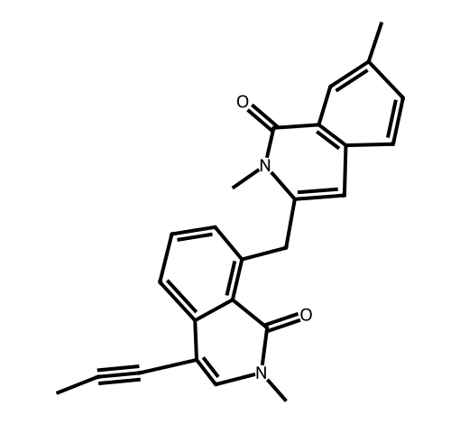 CC#Cc1cn(C)c(=O)c2c(Cc3cc4ccc(C)cc4c(=O)n3C)cccc12